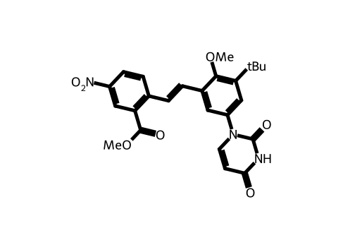 COC(=O)c1cc([N+](=O)[O-])ccc1C=Cc1cc(-n2ccc(=O)[nH]c2=O)cc(C(C)(C)C)c1OC